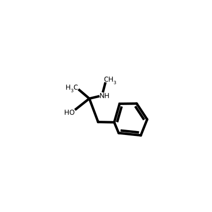 CNC(C)(O)Cc1ccccc1